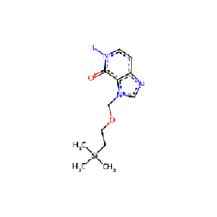 C[Si](C)(C)CCOCn1cnc2ccn(I)c(=O)c21